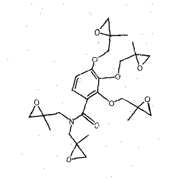 CC1(COc2ccc(C(=O)N(CC3(C)CO3)CC3(C)CO3)c(OCC3(C)CO3)c2OCC2(C)CO2)CO1